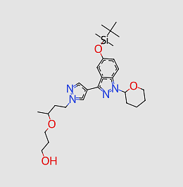 CC(CCn1cc(-c2nn(C3CCCCO3)c3ccc(O[Si](C)(C)C(C)(C)C)cc23)cn1)OCCCO